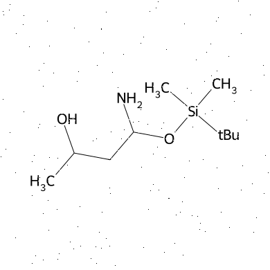 CC(O)CC(N)O[Si](C)(C)C(C)(C)C